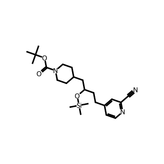 CC(C)(C)OC(=O)N1CCC(CC(CCc2ccnc(C#N)c2)O[Si](C)(C)C)CC1